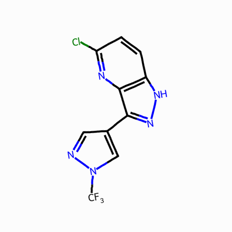 FC(F)(F)n1cc(-c2n[nH]c3ccc(Cl)nc23)cn1